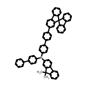 CC1(C)c2ccccc2-c2ccc(N(c3ccc(-c4ccccc4)cc3)c3ccc(-c4ccc(-c5ccc6c(c5)C5(c7ccccc7-c7ccccc75)c5ccccc5-6)cc4)cc3)cc21